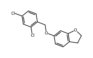 Clc1ccc(COc2ccc3c(c2)OC[CH]3)c(Cl)c1